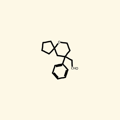 O=CCC1(c2ccccc2)CCOC2(CCCC2)C1